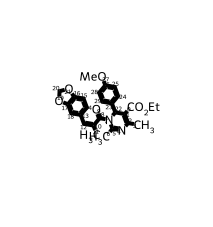 CCOC(=O)C1=C(C)N=C(C)N(C(=O)/C(C)=C\c2ccc3c(c2)OCO3)C1c1ccc(OC)cc1